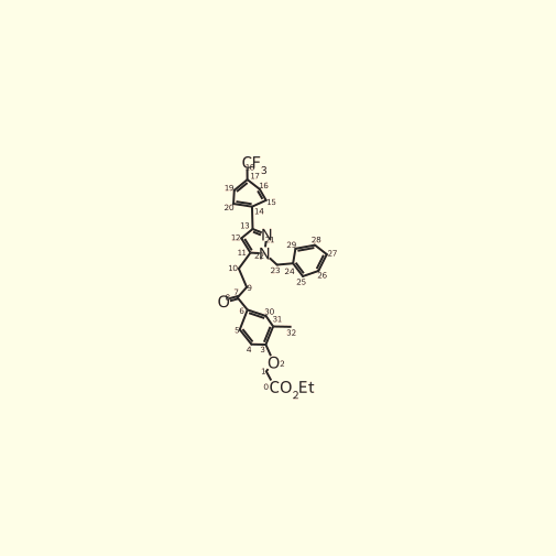 CCOC(=O)COc1ccc(C(=O)CCc2cc(-c3ccc(C(F)(F)F)cc3)nn2Cc2ccccc2)cc1C